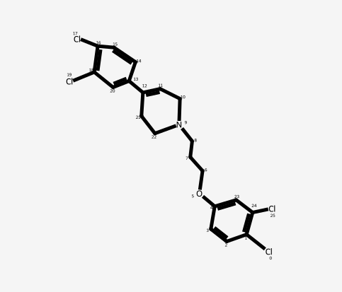 Clc1ccc(OCCCN2CC=C(c3ccc(Cl)c(Cl)c3)CC2)cc1Cl